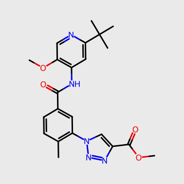 COC(=O)c1cn(-c2cc(C(=O)Nc3cc(C(C)(C)C)ncc3OC)ccc2C)nn1